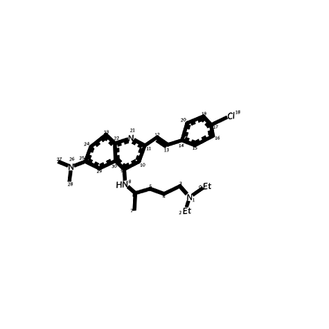 CCN(CC)CCCC(C)Nc1cc(/C=C/c2ccc(Cl)cc2)nc2ccc(N(C)C)cc12